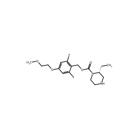 CC[C@@H]1CNCCN1C(=O)OCc1c(F)cc(OCCOC)cc1F